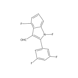 O=Cc1c(-c2cc(F)cc(F)c2)n(F)c2cccc(F)c12